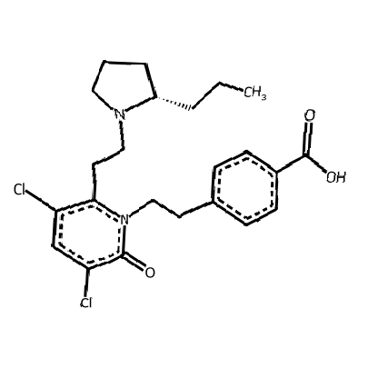 CCC[C@H]1CCCN1CCc1c(Cl)cc(Cl)c(=O)n1CCc1ccc(C(=O)O)cc1